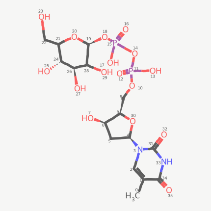 Cc1cn([C@H]2C[C@@H](O)[C@@H](COP(=O)(O)OP(=O)(O)O[C@@H]3OC(CO)[C@@H](O)[C@H](O)C3O)O2)c(=O)[nH]c1=O